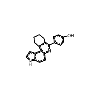 Oc1ccc(-c2nc3ccc4[nH]ccc4c3c3c2CCCC3)cc1